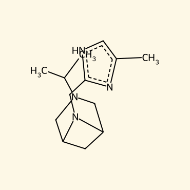 Cc1c[nH]c(CN2C3CC2CN(C(C)C)C3)n1